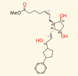 COC(=O)CCC/C=C\C[C@@H]1[C@@H](/C=C/[C@@H](O)C2CCC(c3ccccc3)C2)[C@H](O)C[C@@H]1O